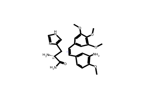 COc1ccc(/C=C\c2cc(OC)c(OC)c(OC)c2)cc1N.NC(=O)[C@H](N)Cc1c[nH]cn1